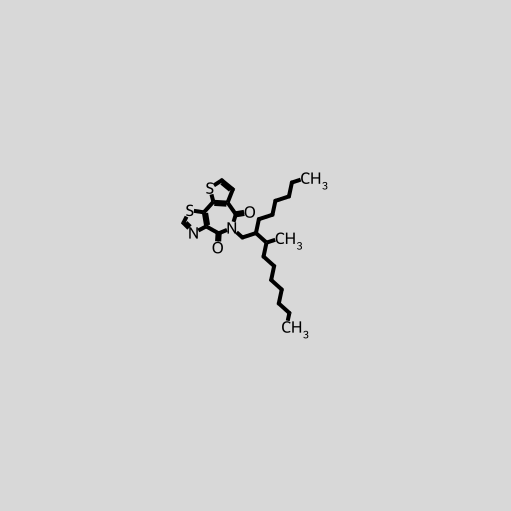 CCCCCCCC(C)C(CCCCCC)Cn1c(=O)c2ccsc2c2scnc2c1=O